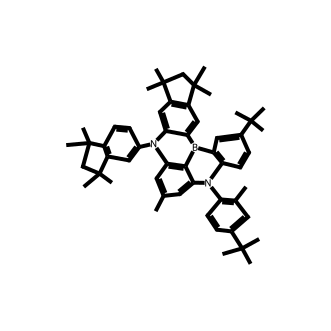 Cc1cc2c3c(c1)N(c1ccc(C(C)(C)C)cc1C)c1ccc(C(C)(C)C)cc1B3c1cc3c(cc1N2c1ccc2c(c1)C(C)(C)CC2(C)C)C(C)(C)CC3(C)C